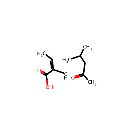 CC(=O)CC(C)C.CC=C(C)C(=O)O